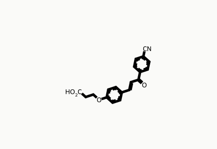 N#Cc1ccc(C(=O)/C=C/c2ccc(OCCC(=O)O)cc2)cc1